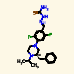 CC(C)N1CCN(c2cc(F)c(/C=N/NC(N)=S)cc2F)C[C@@H]1Cc1ccccc1